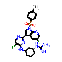 Cc1ccc(S(=O)(=O)n2cc(-c3ncc(F)c(NC4CCC[C@@H](NC(=N)N)C4)n3)c3cc(F)cnc32)cc1